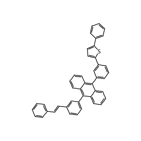 C(=C\c1cccc(-c2c3ccccc3c(-c3cccc(-c4ccc(-c5ccccc5)s4)c3)c3ccccc23)c1)/c1ccccc1